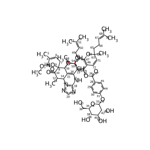 COC(=O)/C(C)=C\CC1(O)C(=O)C(C)C2C3=C(Nc4ncnn42)c2c(OC(=O)c4ccc(O[C@@H]5O[C@H](CO)[C@@H](O)[C@H](O)[C@H]5O)cc4)c4c(c(CC=C(C)C)c2OC31C(C)C(C)C)OC(C)(CCC=C(C)C)C=C4